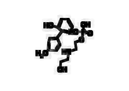 O.O=P(O)(O)OCCNCCO.Oc1ccccc1-c1ccccc1